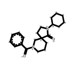 O=C(c1ccccc1)N1CCCC2(CCN(C3CCCCC3)C2=O)C1